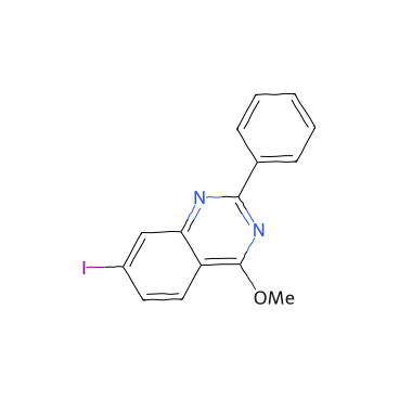 COc1nc(-c2ccccc2)nc2cc(I)ccc12